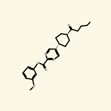 CCCCC(=O)[C@H]1CC[C@H](c2cnc(C(=O)Oc3cccc(OC)c3)nc2)CC1